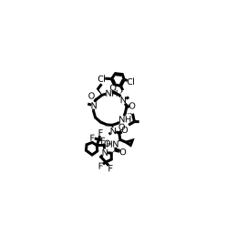 CC[C@H]1NC(=O)[C@H](Cc2cc(Cl)ccc2Cl)N(C)C(=O)[C@H](CC(C)C)NC(=O)[C@@H](N(C)C(=O)[C@@H](NC(=O)[C@@H]2CC(F)(F)CN2C(=O)C2(C(F)(F)F)CCCCC2)C2CC2)CCCCN(C)C1=O